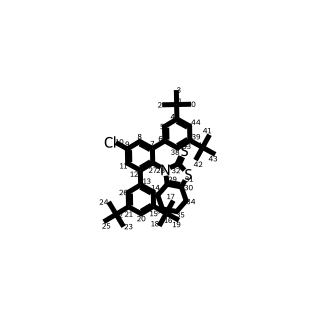 CC(C)(C)c1cc(-c2cc(Cl)cc(-c3cc(C(C)(C)C)cc(C(C)(C)C)c3)c2-n2c3c(sc2=S)CCCC3)cc(C(C)(C)C)c1